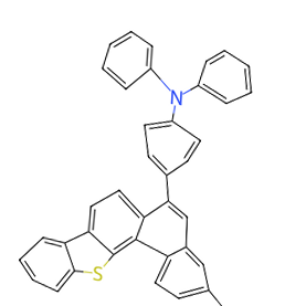 CC(C)(C)c1ccc2c(c1)cc(-c1ccc(N(c3ccccc3)c3ccccc3)cc1)c1ccc3c4ccccc4sc3c12